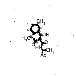 CC(=O)[C@H](C)NC(=O)c1c(O)c2cc(C)ccc2n(C)c1=O